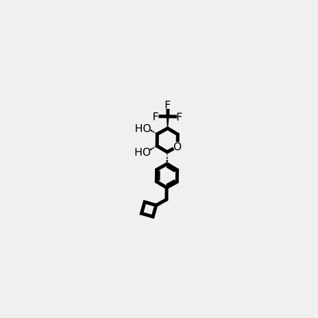 O[C@@H]1[C@H](O)[C@@H](C(F)(F)F)CO[C@@H]1c1ccc(CC2CCC2)cc1